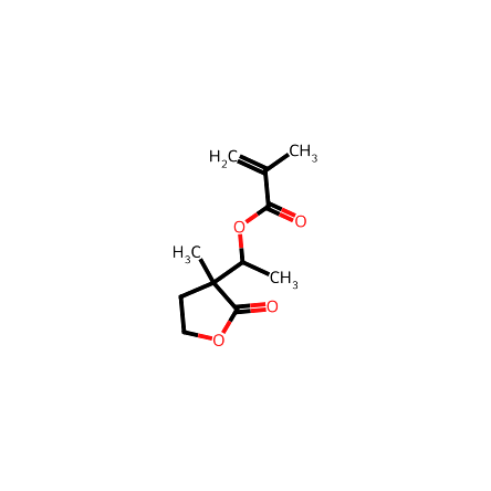 C=C(C)C(=O)OC(C)C1(C)CCOC1=O